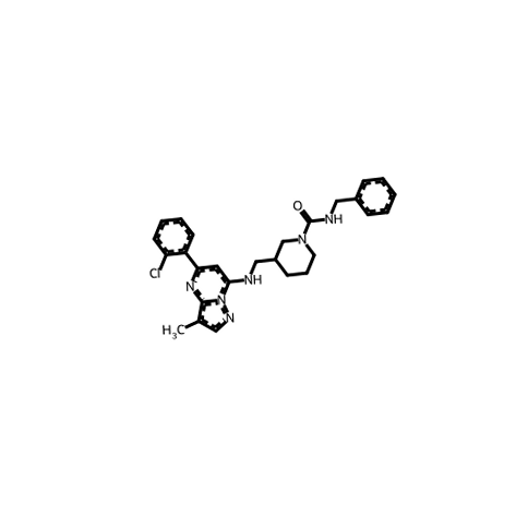 Cc1cnn2c(NCC3CCCN(C(=O)NCc4ccccc4)C3)cc(-c3ccccc3Cl)nc12